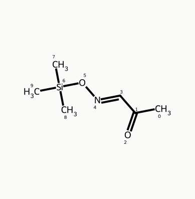 CC(=O)C=NO[Si](C)(C)C